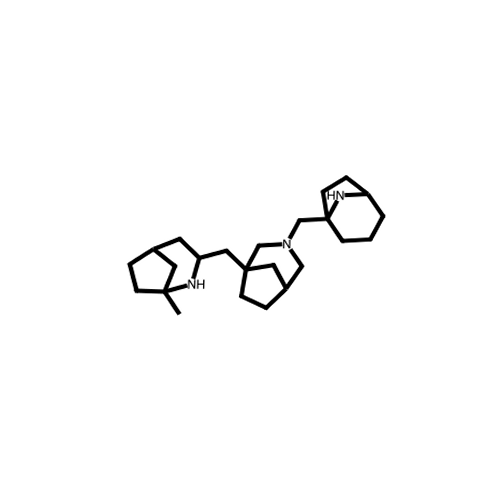 CC12CCC(CC(CC34CCC(CN(CC56CCCC(CC5)N6)C3)C4)N1)C2